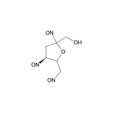 O=NCC1OC(CO)(N=O)C[C@@H]1N=O